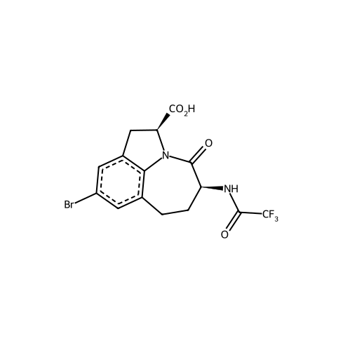 O=C(O)[C@@H]1Cc2cc(Br)cc3c2N1C(=O)[C@@H](NC(=O)C(F)(F)F)CC3